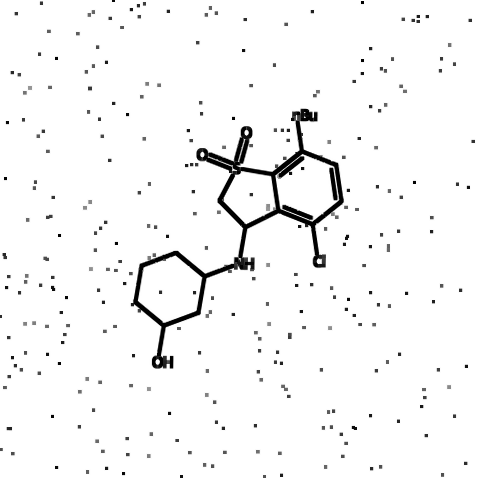 CCCCc1ccc(Cl)c2c1S(=O)(=O)CC2NC1CCCC(O)C1